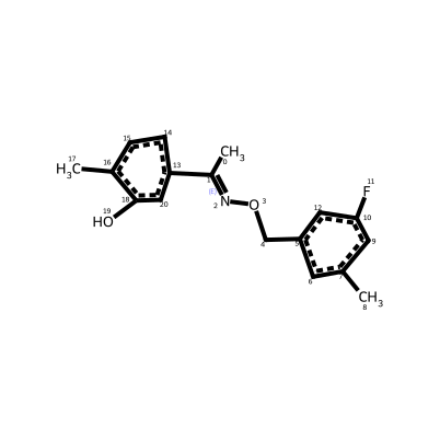 C/C(=N\OCc1cc(C)cc(F)c1)c1ccc(C)c(O)c1